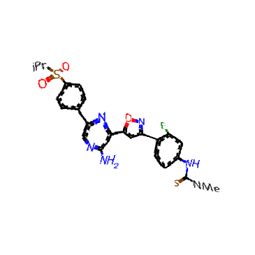 CNC(=S)Nc1ccc(-c2cc(-c3nc(-c4ccc(S(=O)(=O)C(C)C)cc4)cnc3N)on2)c(F)c1